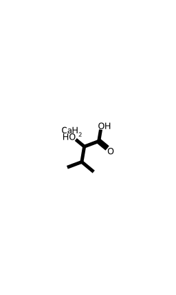 CC(C)C(O)C(=O)O.[CaH2]